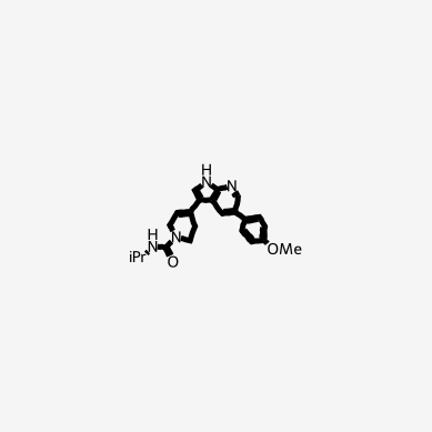 COc1ccc(-c2cnc3[nH]cc(C4=CCN(C(=O)NC(C)C)CC4)c3c2)cc1